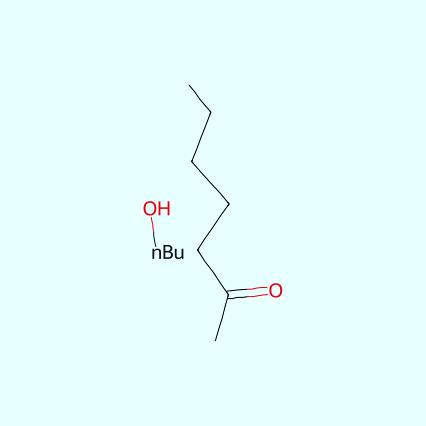 CCCCCC(C)=O.CCCCO